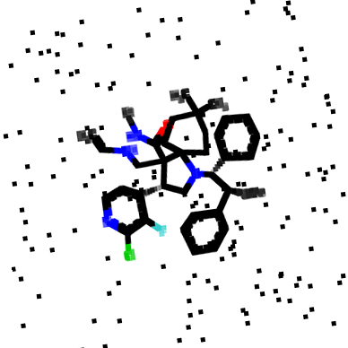 C=CNCC1(C(=O)NCC)[C@@H](c2ccnc(Cl)c2F)CN([C@H](c2ccccc2)[C@@H](OC)c2ccccc2)C12CCC(C)(C)CC2